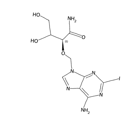 NC(=O)[C@@H](OCn1cnc2c(N)nc(I)nc21)C(O)CO